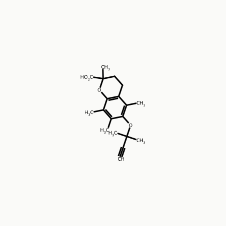 C#CC(C)(C)Oc1c(C)c(C)c2c(c1C)CCC(C)(C(=O)O)O2